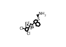 NC1CC1Sc1ccc(C2=NO[C@@](c3cc(Cl)cc(Cl)c3)(C(F)(F)F)C2)c2ccccc12